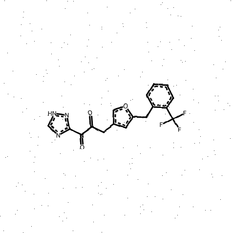 O=C(Cc1coc(Cc2ccccc2C(F)(F)F)c1)C(=O)c1nc[nH]n1